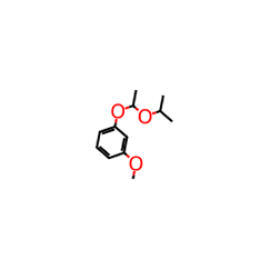 COc1cccc(OC(C)OC(C)C)c1